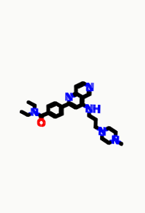 CCN(CC)C(=O)c1ccc(-c2cc(NCCCN3CCN(C)CC3)c3cnccc3n2)cc1